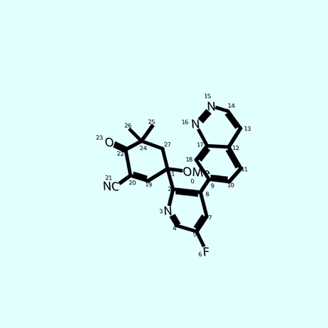 COC1(c2ncc(F)cc2-c2ccc3ccnnc3c2)C=C(C#N)C(=O)C(C)(C)C1